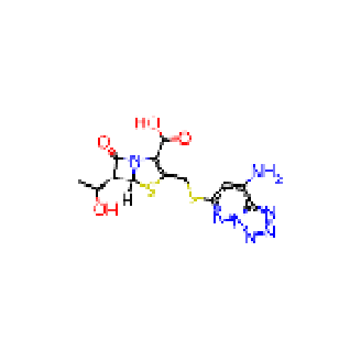 CC(O)[C@H]1C(=O)N2C(C(=O)O)=C(CSc3cc(N)c4nnnn4n3)S[C@H]12